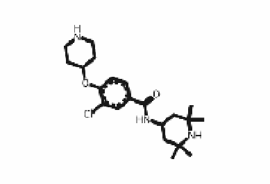 CC1(C)CC(NC(=O)c2ccc(OC3CCNCC3)c(Cl)c2)CC(C)(C)N1